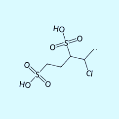 [CH2]C(Cl)C(CCS(=O)(=O)O)S(=O)(=O)O